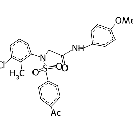 COc1ccc(CNC(=O)CN(c2cccc(Cl)c2C)S(=O)(=O)c2ccc(C(C)=O)cc2)cc1